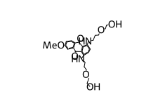 COc1ccc2c(c1)C(=O)c1c(NCCCOCCO)ccc(NCCCOCCO)c1C2=O